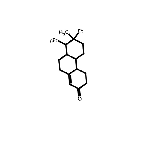 CCCC1C2CCC3=CC(=O)CCC3C2CCC1(C)CC